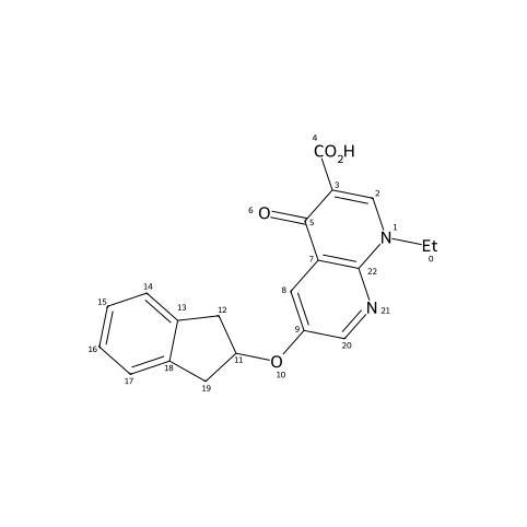 CCn1cc(C(=O)O)c(=O)c2cc(OC3Cc4ccccc4C3)cnc21